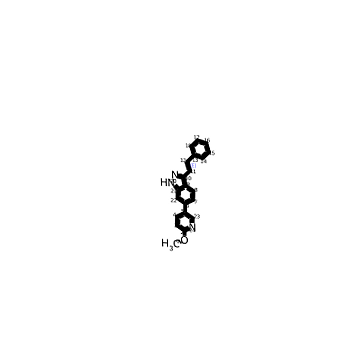 COc1ccc(-c2ccc3c(/C=C/c4ccccc4)n[nH]c3c2)cn1